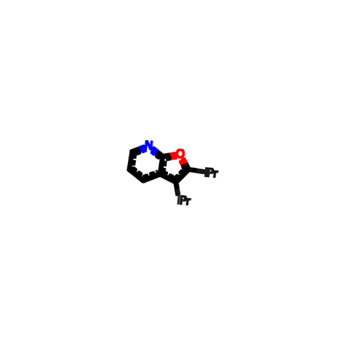 CC(C)c1oc2ncccc2c1C(C)C